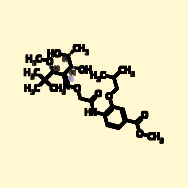 COC(=O)c1ccc(NC(=O)CO/N=C(\[C@@H](O)[C@@H](C)O)[C@@H](OC)C(C)(C)C)c(OCC(C)C)c1